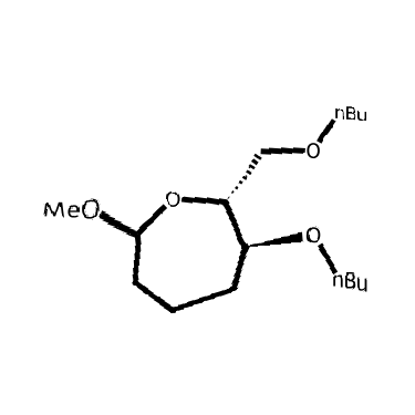 CCCCOC[C@H]1OC(OC)CCC[C@@H]1OCCCC